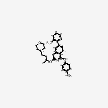 CC(CCN1CCOCC1)Oc1nc(Nc2ccc(C(C)(C)C)cc2)c2ccc(-c3ncccc3C(F)(F)F)cc2n1